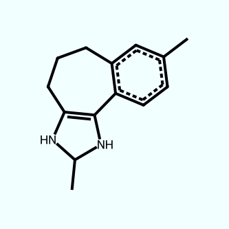 Cc1ccc2c(c1)CCCC1=C2NC(C)N1